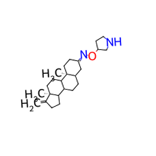 C=C1CCC2C3CCC4CC(=NOC5CCNC5)CC[C@]4(C)C3CC[C@]12C